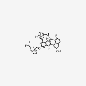 C#Cc1c(F)ccc2cc(O)cc(-c3ncc4c(N5C[C@@H]6CC[C@](C7CC7)(C5)N6)nc(OC[C@@]56CCCN5CC(=C(F)F)C6)nc4c3F)c12